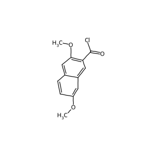 COc1ccc2cc(OC)c(C(=O)Cl)cc2c1